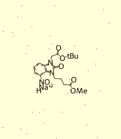 COC(=O)CCCn1c(=O)n(CC(=O)OC(C)(C)C)c2cccc([N+](=O)[O-])c21.[H-].[Na+]